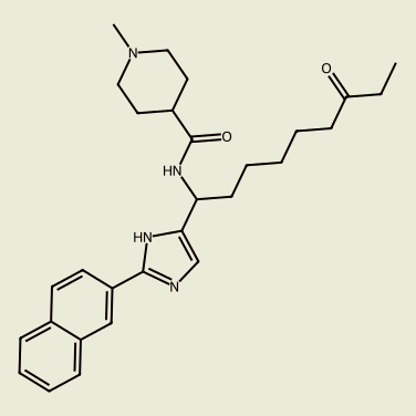 CCC(=O)CCCCCC(NC(=O)C1CCN(C)CC1)c1cnc(-c2ccc3ccccc3c2)[nH]1